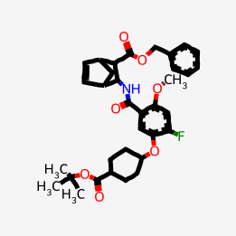 COc1cc(F)c(OC2CCC(C(=O)OC(C)(C)C)CC2)cc1C(=O)NC1C2C=CC(C2)C1C(=O)OCc1ccccc1